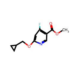 COC(=O)c1cnc(OCC2CC2)cc1F